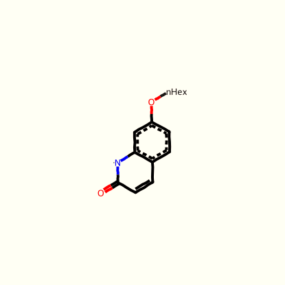 CCCCCCOc1ccc2c(c1)[N]C(=O)C=C2